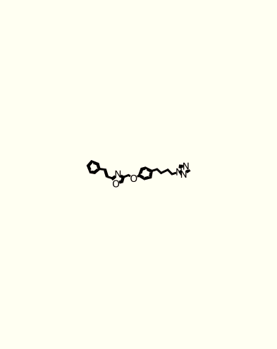 C(=Cc1nc(COc2ccc(CCCCn3cncn3)cc2)co1)c1ccccc1